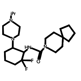 CC(C)N1CCN(C2CCCC(F)(F)C2NC(=O)N2CCC3(CCCC3)CC2)CC1